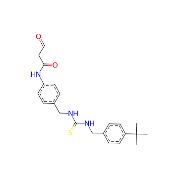 CC(C)(C)c1ccc(CNC(=S)NCc2ccc(NC(=O)CC=O)cc2)cc1